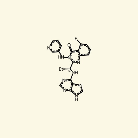 CC[C@H](Nc1ncnc2[nH]cnc12)c1nc2cccc(F)c2c(=O)n1Nc1cccnc1